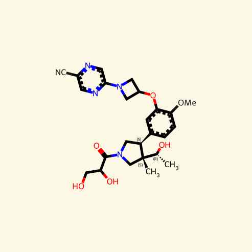 COc1ccc([C@@H]2CN(C(=O)C(O)CO)C[C@@]2(C)[C@@H](C)O)cc1OC1CN(c2cnc(C#N)cn2)C1